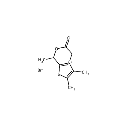 Cc1sc2[n+](c1C)CC(=O)OC2C.[Br-]